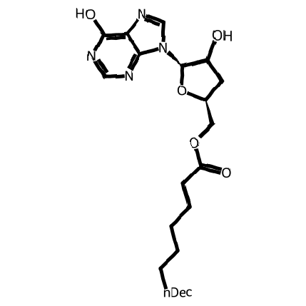 CCCCCCCCCCCCCCCC(=O)OC[C@@H]1CC(O)[C@H](n2cnc3c(O)ncnc32)O1